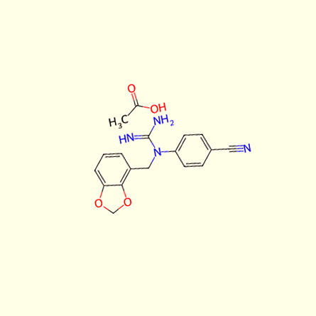 CC(=O)O.N#Cc1ccc(N(Cc2cccc3c2OCO3)C(=N)N)cc1